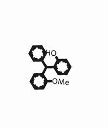 COc1ccccc1[C](c1ccccc1)c1ccccc1O